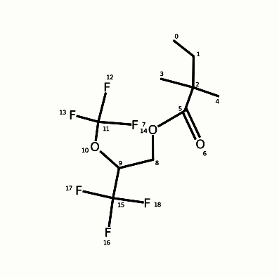 CCC(C)(C)C(=O)OCC(OC(F)(F)F)C(F)(F)F